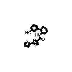 O=C(Nc1ccccc1-c1cccc(O)c1)c1csc(-c2cccs2)n1